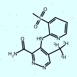 [2H]C([2H])([2H])c1cnnc(C(N)=O)c1Nc1ncccc1S(C)(=O)=O